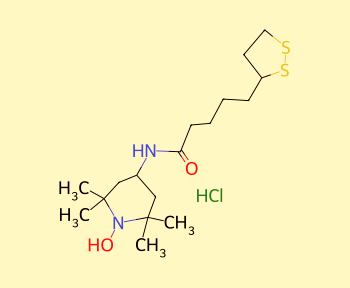 CC1(C)CC(NC(=O)CCCCC2CCSS2)CC(C)(C)N1O.Cl